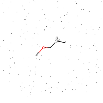 COC[SiH2]C